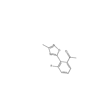 CC(=O)c1cccc(F)c1-c1nc(C)no1